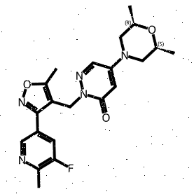 Cc1ncc(-c2noc(C)c2Cn2ncc(N3C[C@@H](C)O[C@@H](C)C3)cc2=O)cc1F